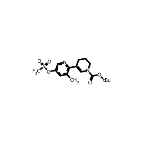 Cc1cc(OS(=O)(=O)C(F)(F)F)cnc1C1=CN(C(=O)OC(C)(C)C)CCC1